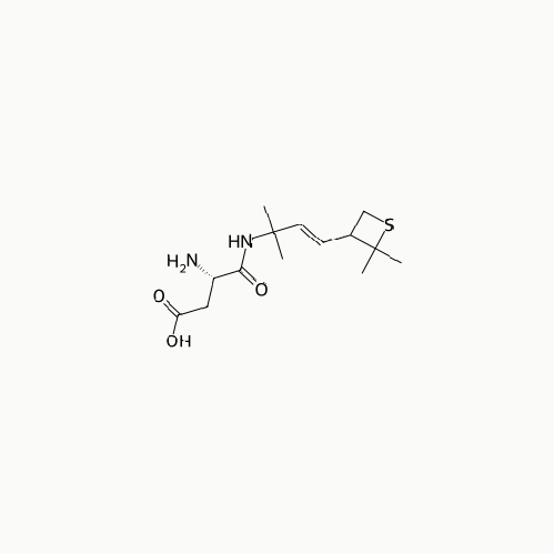 CC(C)(/C=C/C1CSC1(C)C)NC(=O)[C@@H](N)CC(=O)O